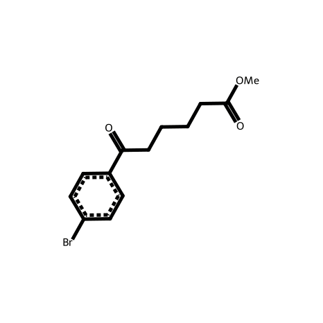 COC(=O)CCCCC(=O)c1ccc(Br)cc1